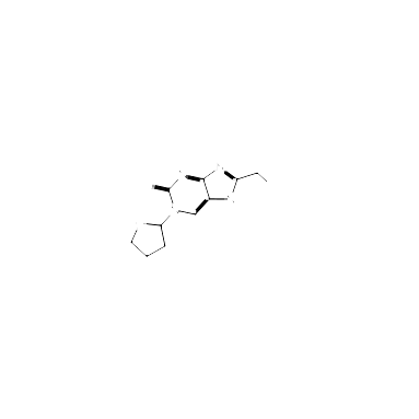 O=c1nc2nc(CO)[nH]c2cn1C1CCCO1